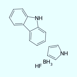 B.F.c1cc[nH]c1.c1ccc2c(c1)[nH]c1ccccc12